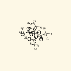 CC1=[C]([Ti]([O]C(=O)C(C)(C)C)([O]C(=O)C(C)(C)C)[O]C(=O)C(C)(C)C)CC=C1